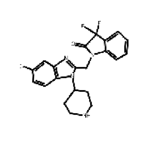 O=C1N(Cc2nc3cc(Cl)ccc3n2C2CCNCC2)c2ccccc2C1(F)F